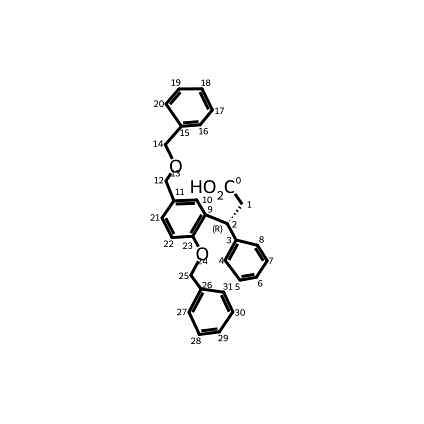 O=C(O)C[C@H](c1ccccc1)c1cc(COCc2ccccc2)ccc1OCc1ccccc1